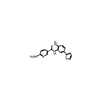 CC(=O)Nc1ccc(C(=O)Nc2cc(-c3cccs3)ccc2N)cn1